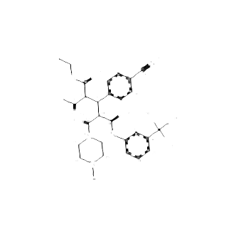 CCOC(=O)C(C(C)=O)C(c1ccc(C#N)cc1)C(C(=O)Nc1cccc(C(F)(F)F)c1)C(=O)N1CCN(C)CC1